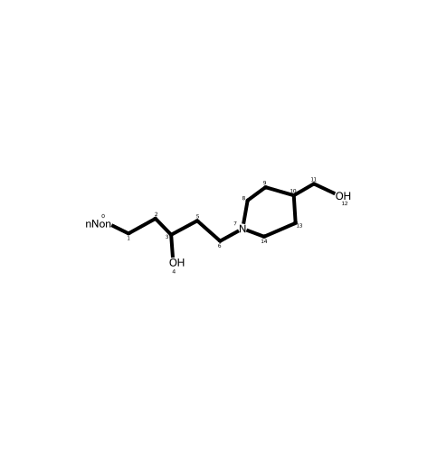 CCCCCCCCCCCC(O)CCN1CCC(CO)CC1